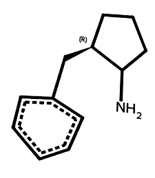 NC1CCC[C@@H]1Cc1ccccc1